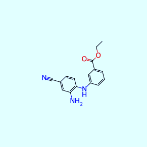 CCOC(=O)c1cccc(Nc2ccc(C#N)cc2N)c1